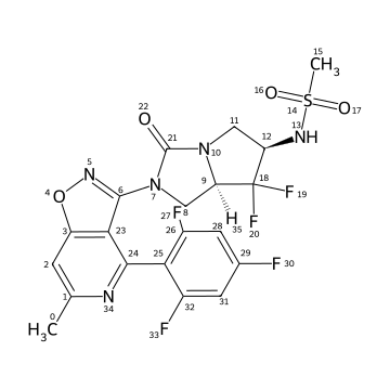 Cc1cc2onc(N3C[C@H]4N(C[C@@H](NS(C)(=O)=O)C4(F)F)C3=O)c2c(-c2c(F)cc(F)cc2F)n1